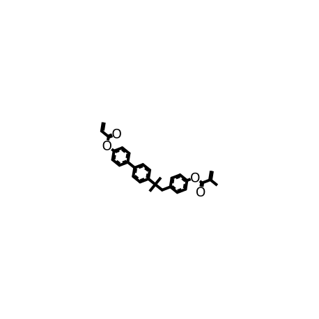 C=CC(=O)Oc1ccc(-c2ccc(C(C)(C)Cc3ccc(OC(=O)C(=C)C)cc3)cc2)cc1